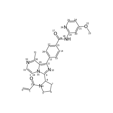 C=CC(=O)N1CCCC1c1nc(-c2ccc(C(=O)Nc3cc(OC)ccn3)cc2)c2c(C)nccn12